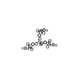 CCCCN1C(=O)c2ccc(OCC(CBr)(COc3ccc4c(c3)C(=O)N(CCCC)C4=O)COc3ccc4c(c3)C(=O)N(CCCC)C4=O)cc2C1=O